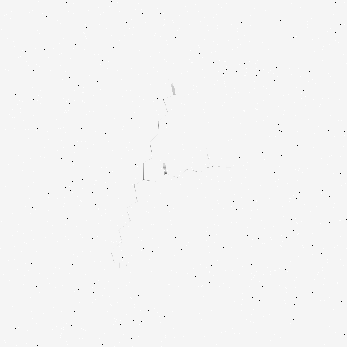 CN(C)CCCC(=O)OC(CCCCCCCC=O)CCCCCCCC(=O)Cl